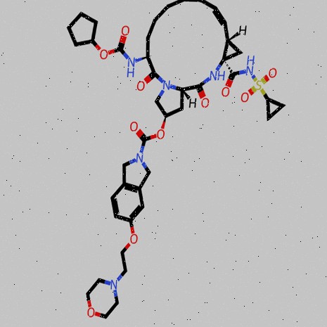 O=C(N[C@H]1CCCCC/C=C\[C@@H]2C[C@@]2(C(=O)NS(=O)(=O)C2CC2)NC(=O)[C@@H]2C[C@@H](OC(=O)N3Cc4ccc(OCCN5CCOCC5)cc4C3)CN2C1=O)OC1CCCC1